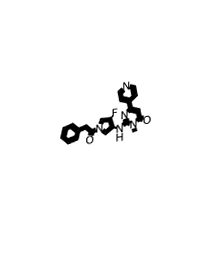 Cn1c(N[C@H]2CN(C(=O)Cc3ccccc3)C[C@@H]2F)nc(-c2ccncc2)cc1=O